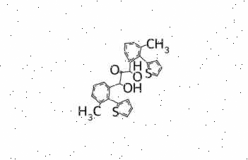 Cc1cccc(C(O)C(=O)C(O)c2cccc(C)c2-c2cccs2)c1-c1cccs1